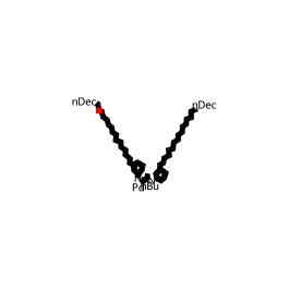 CCCCCCCCCCCCCCCCCCCCCCCCCCc1cccc(/N=C(CCCC)\C(C)=N\c2cccc(CCCCCCCCCCCCCCCCCCCCCCCCCC)c2)c1.[Pd]